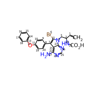 C=CC(Cn1c(Br)c(-c2ccc(Oc3ccccc3)cc2)c2c(N)ncnc21)NC(=O)O